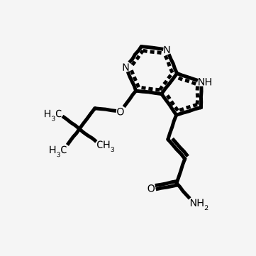 CC(C)(C)COc1ncnc2[nH]cc(C=CC(N)=O)c12